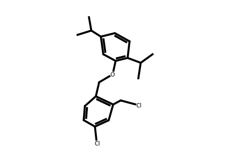 CC(C)c1ccc(C(C)C)c(OCc2ccc(Cl)cc2CCl)c1